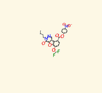 CCCCn1ncc2c(oc3c(OC(F)F)ccc(C(=O)Oc4ccc([N+](=O)[O-])cc4)c32)c1=O